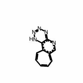 C1=CC=c2cnc3c(c2C=C1)NN=NN=3